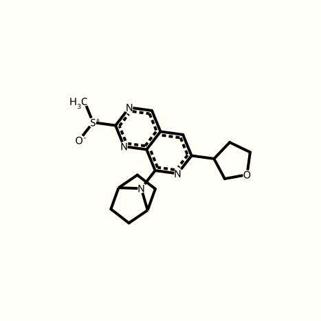 C[S+]([O-])c1ncc2cc(C3CCOC3)nc(N3C4CCC3CC4)c2n1